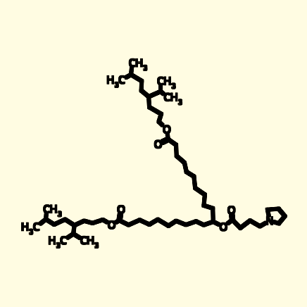 CC(C)CCC(CCCOC(=O)CCCCCCCCCC(CCCCCCCCCC(=O)OCCCC(CCC(C)C)C(C)C)OC(=O)CCCN1CCCC1)C(C)C